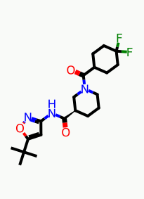 CC(C)(C)c1cc(NC(=O)[C@@H]2CCCN(C(=O)C3CCC(F)(F)CC3)C2)no1